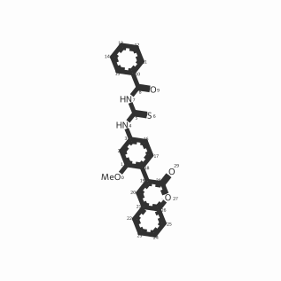 COc1cc(NC(=S)NC(=O)c2ccccc2)ccc1-c1cc2ccccc2oc1=O